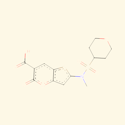 CN(c1cc2oc(=O)c(C(=O)O)cc2s1)S(=O)(=O)C1CCOCC1